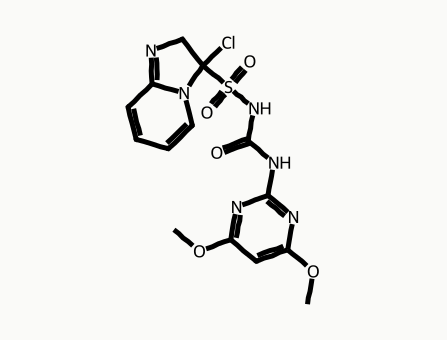 COc1cc(OC)nc(NC(=O)NS(=O)(=O)C2(Cl)CN=C3C=CC=CN32)n1